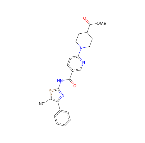 COC(=O)C1CCN(c2ccc(C(=O)Nc3nc(-c4ccccc4)c(C#N)s3)cn2)CC1